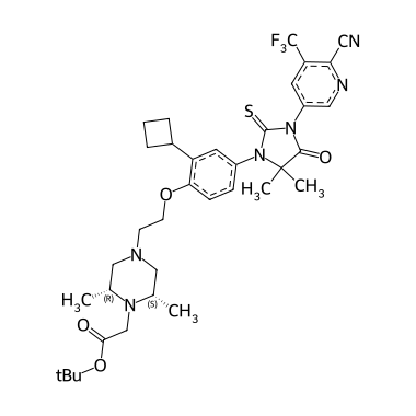 C[C@@H]1CN(CCOc2ccc(N3C(=S)N(c4cnc(C#N)c(C(F)(F)F)c4)C(=O)C3(C)C)cc2C2CCC2)C[C@H](C)N1CC(=O)OC(C)(C)C